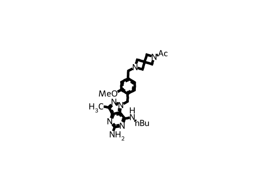 CCCCNc1nc(N)nc2c(C)nn(Cc3ccc(CN4CC5(C4)CN(C(C)=O)C5)cc3OC)c12